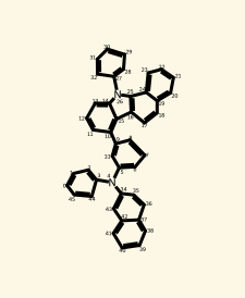 c1ccc(N(c2cccc(-c3cccc4c3c3ccc5ccccc5c3n4-c3ccccc3)c2)c2ccc3ccccc3c2)cc1